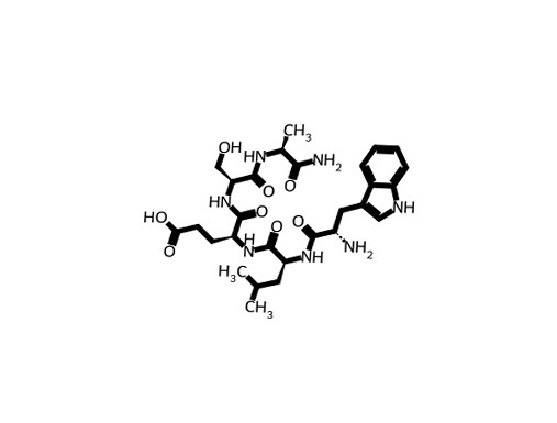 CC(C)C[C@H](NC(=O)[C@@H](N)Cc1c[nH]c2ccccc12)C(=O)N[C@@H](CCC(=O)O)C(=O)N[C@@H](CO)C(=O)N[C@@H](C)C(N)=O